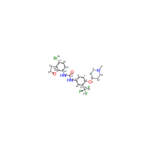 CN1CCC(Oc2ccc(NC(=O)Nc3ccc(Br)c4c3OCC4)cc2C(F)(F)F)CC1